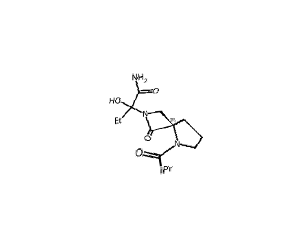 CCC(O)(C(N)=O)N1C[C@]2(CCCN2C(=O)C(C)C)C1=O